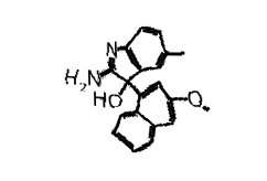 COc1cc(C2(O)C(N)=Nc3ccc(C)cc32)c2ccccc2c1